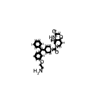 NCCOc1cccc(C(c2ccccc2)C2CCN(C(=O)N3CCC4OCC(=O)N[C@@H]4C3)CC2)c1